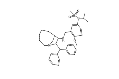 COc1ccc(N(C(C)C)S(C)(=O)=O)cc1CNC1C2CCCCCN(C2)C1C(c1ccccc1)c1ccccc1